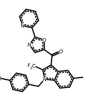 Cc1ccc2c(c1)c(C(=O)c1cnc(-c3ccccn3)o1)c(C(F)(F)F)n2Cc1ccc(Cl)cc1